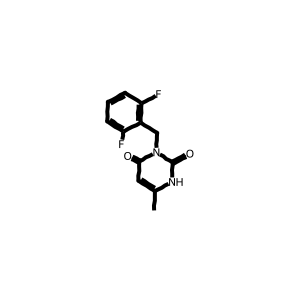 Cc1cc(=O)n(Cc2c(F)cccc2F)c(=O)[nH]1